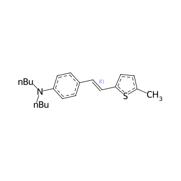 CCCCN(CCCC)c1ccc(/C=C/c2ccc(C)s2)cc1